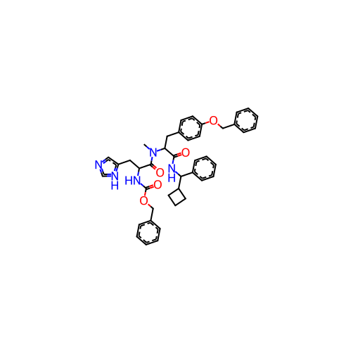 CN(C(=O)C(Cc1cnc[nH]1)NC(=O)OCc1ccccc1)C(Cc1ccc(OCc2ccccc2)cc1)C(=O)NC(c1ccccc1)C1CCC1